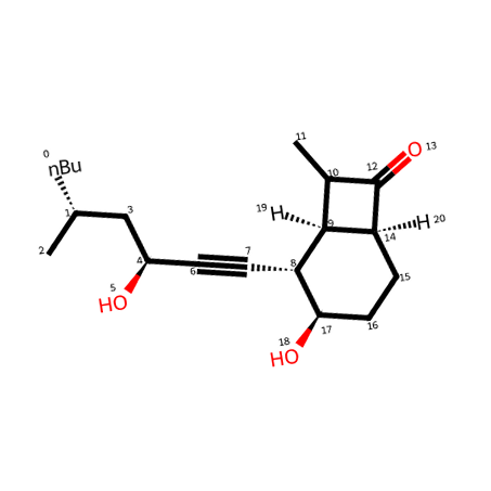 CCCC[C@@H](C)C[C@H](O)C#C[C@@H]1[C@H]2C(C)C(=O)[C@H]2CC[C@H]1O